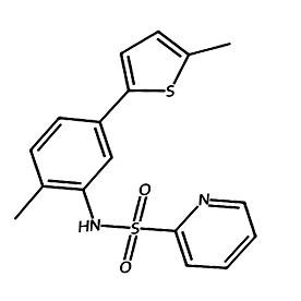 Cc1ccc(-c2ccc(C)c(NS(=O)(=O)c3ccccn3)c2)s1